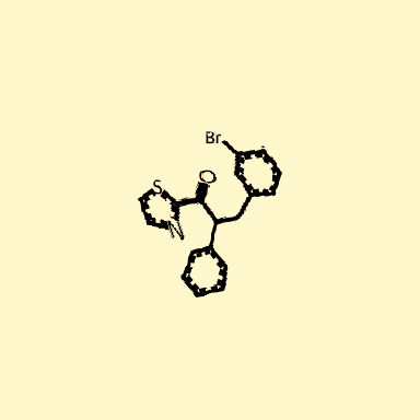 O=C(c1nccs1)C(Cc1cc[c]c(Br)c1)c1ccccc1